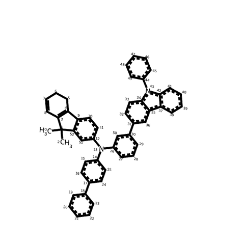 CC1(C)C2=C(CCC=C2)c2ccc(N(c3ccc(-c4ccccc4)cc3)c3cccc(-c4ccc5c(c4)c4ccccc4n5-c4ccccc4)c3)cc21